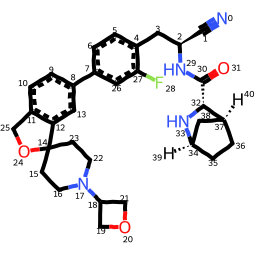 N#C[C@H](Cc1ccc(-c2ccc3c(c2)C2(CCN(C4COC4)CC2)OC3)cc1F)NC(=O)[C@H]1N[C@@H]2CC[C@H]1C2